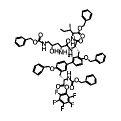 CC[C@@H](C)C(NC(=O)[C@H](Cc1cc(-c2ccc(OCc3ccccc3)c(C[C@H](NC(=O)OCc3ccccc3)C(=O)Oc3c(F)c(F)c(F)c(F)c3F)c2)ccc1OCc1ccccc1)NC(=O)[C@@H](N)C[C@@H](O)CNC(=O)OCc1ccccc1)C(=O)OCc1ccccc1